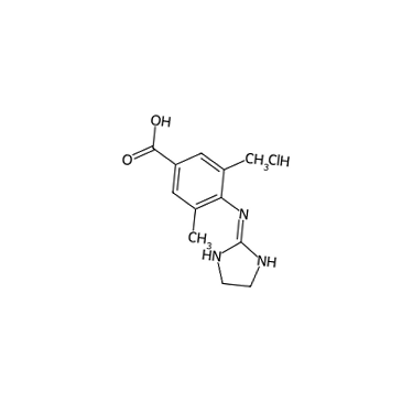 Cc1cc(C(=O)O)cc(C)c1N=C1NCCN1.Cl